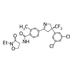 CCN1OC[C@@H](NC(=O)c2ccc(C3=NC[C@@](c4cc(Cl)cc(Cl)c4)(C(F)(F)F)C3)cc2C)C1=O